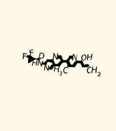 C=CCC(O)c1cc(C)c(-c2cnc3cc(NC(=O)[C@H]4CC4(F)F)ncc3c2)cn1